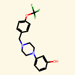 Oc1cccc(N2CCN(Cc3ccc(OC(F)(F)F)cc3)CC2)c1